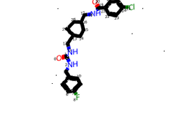 O=C(NCc1ccc(F)cc1)NCC1CCC(CNC(=O)c2ccc(Cl)cc2)CC1